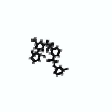 Cc1cccc(CNC(=O)c2cccc(S(=O)(=O)Nc3nc(O)cc(-c4c(C)cccc4C)n3)c2)c1